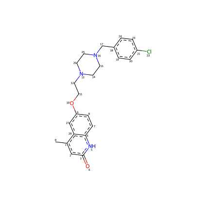 Cc1cc(=O)[nH]c2ccc(OCCN3CCN(Cc4ccc(Cl)cc4)CC3)cc12